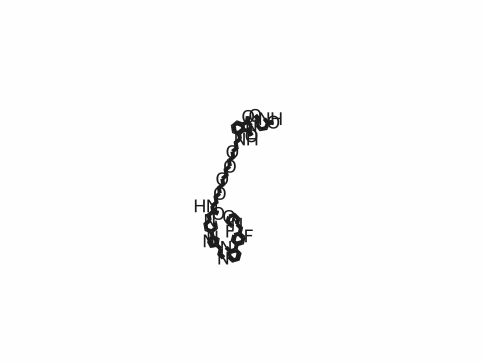 O=C(CN1CCC(n2cc(-c3cnc4cccc(-c5cc(F)c(CN6CCOCC6)c(F)c5)c4n3)cn2)CC1)NCCOCCOCCOCCOCCNc1cccc2c1C(=O)N(C1CCC(=O)NC1=O)C2=O